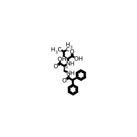 CC(C)C[C@H](N[C@@H](CNC(=O)C(c1ccccc1)c1ccccc1)C(=O)O)C(=O)O